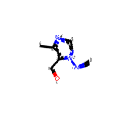 C=Nn1cnc(C)c1C=O